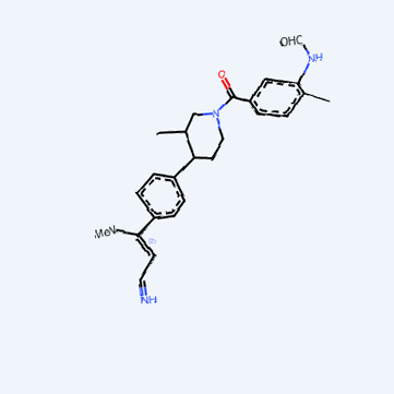 CN/C(=C\C=N)c1ccc(C2CCN(C(=O)c3ccc(C)c(NC=O)c3)CC2C)cc1